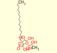 CCCCCCCCCCCCCCCC[C@]1([C@@H](O)CO)OC(=O)C(O)=C1OC(O)C(C)O